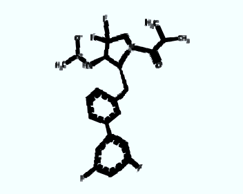 CC(C)C(=O)N1CC(F)(F)[C@H](N[S+](C)[O-])[C@@H]1Cc1cccc(-c2cc(F)cc(F)c2)c1